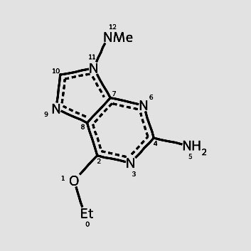 CCOc1nc(N)nc2c1ncn2NC